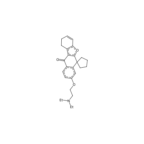 CCN(CC)CCOc1ccc2c(c1)C1(CCCC1)c1oc3c(c1C2=O)CCC=C3